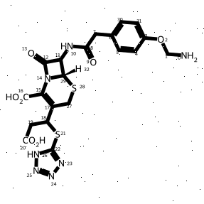 NCOc1ccc(CC(=O)NC2C(=O)N3C(C(=O)O)=C(C(CC(=O)O)Sc4nnn[nH]4)CS[C@@H]23)cc1